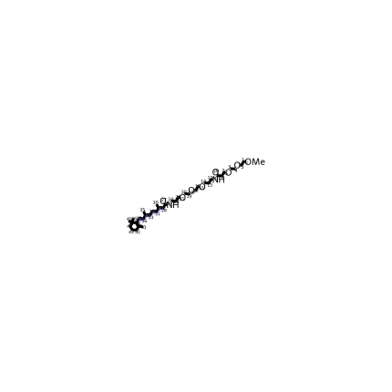 COCCOCCOCCC(=O)NCCCOCCOCCOCCCNC(=O)/C=C(C)/C=C/C=C(C)/C=C/C1=C(C)CCCC1(C)C